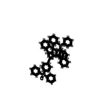 O=P(c1ccccc1)(c1ccccc1)c1ccc(-c2nc3c(c(-c4cccc5ccccc45)n2)C2(c4ccccc4-3)c3ccccc3N(c3ccccc3)c3ccccc32)cc1